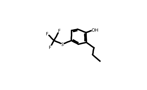 CCCc1cc(SC(F)(F)F)ccc1O